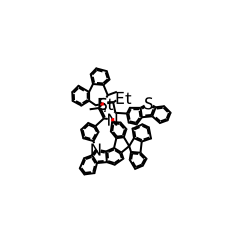 CC/C(C)=C(\N=C(\c1ccc2c(c1)sc1ccccc12)C(CC)S1(C)Cc2ccccc2-c2ccccc2C1C)c1cccc(-n2c3ccccc3c3ccc4c(c32)-c2ccccc2C42c3ccccc3-c3ccccc32)c1